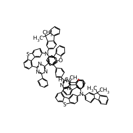 CC1(C)c2ccccc2-c2ccc(N(c3ccc4sc5cccc(-c6nc(-c7ccccc7)nc(-c7ccc(-c8ccc(N(c9ccc%10c(c9)C(C)(C)c9ccccc9-%10)c9ccc%10sc%11cccc(-c%12nc(-c%13ccccc%13)nc(-c%13ccccc%13)n%12)c%11c%10c9)c9c8oc8ccccc89)cc7)n6)c5c4c3)c3cccc4c3-c3ccccc3C4(C)C)cc21